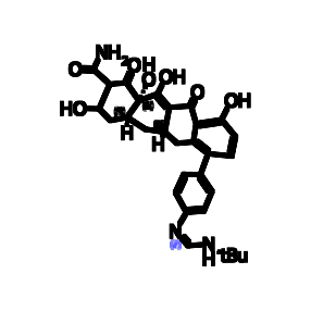 CC(C)(C)N/C=N\c1ccc(-c2ccc(O)c3c2C[C@H]2C[C@H]4CC(O)C(C(N)=O)C(=O)[C@@]4(O)C(O)=C2C3=O)cc1